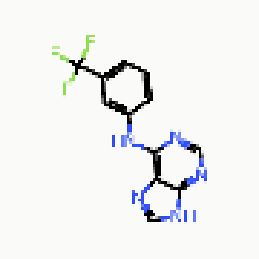 FC(F)(F)c1cccc(Nc2ncnc3[nH]cnc23)c1